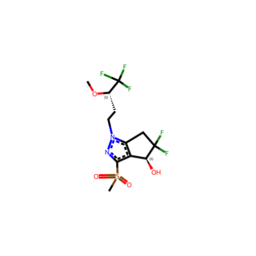 CO[C@@H](CCn1nc(S(C)(=O)=O)c2c1CC(F)(F)[C@H]2O)C(F)(F)F